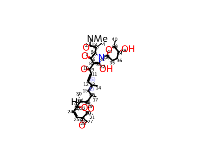 CNC(=O)[C@@H](C)[C@H]1C(=O)C(C(=O)/C=C/C(C)=C/[C@@H](C)[C@@H]2O[C@]3(C)O[C@@H](C=C[C@]34CO4)[C@@H]2C)=C(O)N1[C@@H]1CC[C@H](O)[C@H](C)O1